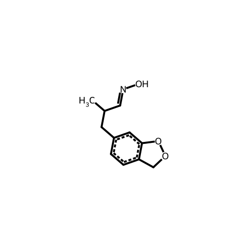 CC(C=NO)Cc1ccc2c(c1)OOC2